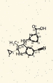 C[C@@H]1[C@@H](C2CC2)Nc2ccc(C#N)cc2[C@@H]1Nc1cccc(C(=O)O)n1